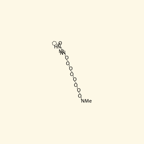 CNCCOCCOCCOCCOCCOCCOCCOCCOCCn1cc(CNC(=O)C2CCCCC2)nn1